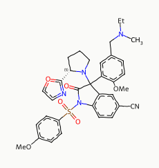 CCN(C)Cc1ccc(OC)c(C2(N3CCC[C@H]3c3ncco3)C(=O)N(S(=O)(=O)c3ccc(OC)cc3)c3ccc(C#N)cc32)c1